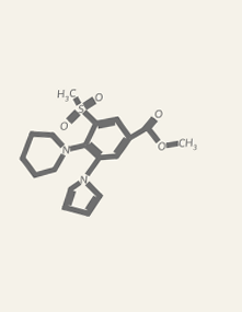 COC(=O)c1cc(-n2cccc2)c(N2CCCCC2)c(S(C)(=O)=O)c1